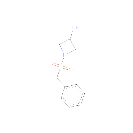 NC1CN(S(=O)(=O)Cc2ccccc2)C1